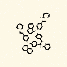 c1ccc2c(N(c3ccc(-c4cn5ccccc5n4)cc3)c3ccc(-c4nc5ccccc5nc4-c4ccc(N(c5ccc(-c6cn7ccccc7n6)cc5)c5cccc6ccccc56)cc4)cc3)cccc2c1